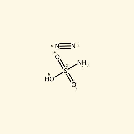 N#N.NS(=O)(=O)O